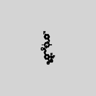 C[C@@H]1CN(Cc2ccc(F)cc2)[C@@H](C)CN1C(=O)/C=C/c1ccc([N+](=O)[O-])c(C(F)(F)F)c1